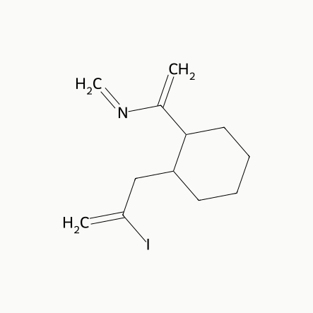 C=NC(=C)C1CCCCC1CC(=C)I